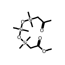 COC(=O)C[Si](C)(C)O[Si](C)(C)O[Si](C)(C)CC(C)=O